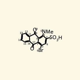 CNc1c(S(=O)(=O)O)cc(Br)c2c1C(=O)c1ccccc1C2=O